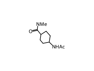 CNC(=O)C1CCC(NC(C)=O)CC1